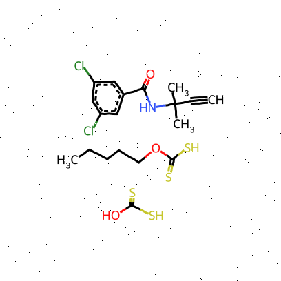 C#CC(C)(C)NC(=O)c1cc(Cl)cc(Cl)c1.CCCCCOC(=S)S.OC(=S)S